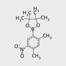 Cc1cc(C)c([N+](=O)[O-])cc1B1OC(C)(C)C(C)(C)O1